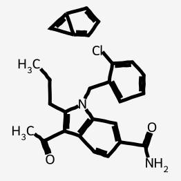 CCCc1c(C(C)=O)c2ccc(C(N)=O)cc2n1Cc1ccccc1Cl.c1cc2cc-2c1